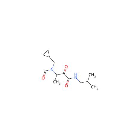 CC(C)CNC(=O)C(=O)C(C)N(C=O)CC1CC1